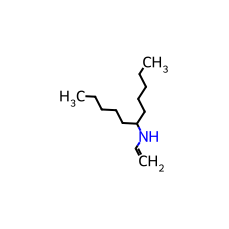 C=CNC(CCCCC)CCCCC